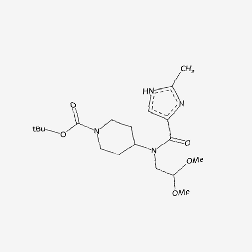 COC(CN(C(=O)c1c[nH]c(C)n1)C1CCN(C(=O)OC(C)(C)C)CC1)OC